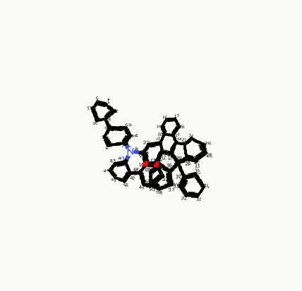 c1ccc(-c2ccc(N(c3ccc4c5c(c6ccccc6c4c3)-c3ccccc3C5(c3ccccc3)c3ccccc3)c3ccccc3-c3ccccc3)cc2)cc1